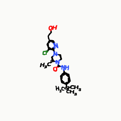 C[C@@H]1CN(c2ncc(CCO)cc2Cl)CCN1C(=O)Nc1ccc([Si](C)(C)C)cc1